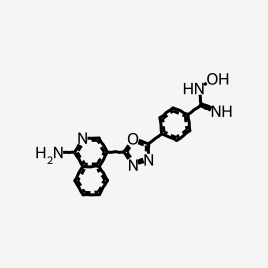 N=C(NO)c1ccc(-c2nnc(-c3cnc(N)c4ccccc34)o2)cc1